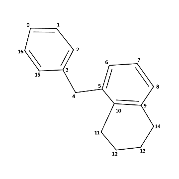 c1ccc(Cc2cccc3c2CCCC3)cc1